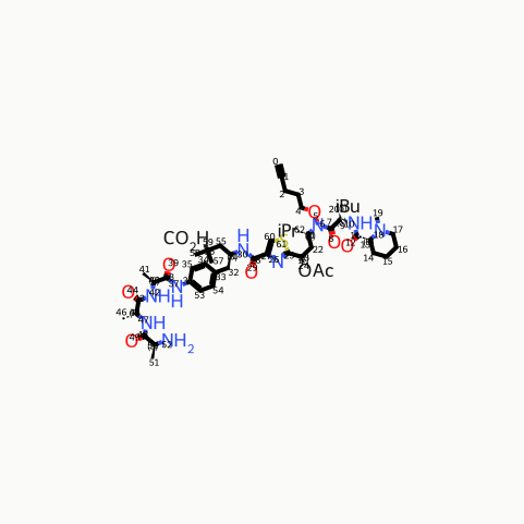 C#CCCCON(C(=O)[C@@H](NC(=O)[C@H]1CCCCN1C)[C@@H](C)CC)[C@H](C[C@@H](OC(C)=O)c1nc(C(=O)N[C@@H](Cc2ccc(NC(=O)[C@H](C)NC(=O)[C@@H](C)NC(=O)[C@H](C)N)cc2)CC(C)(C)C(=O)O)cs1)C(C)C